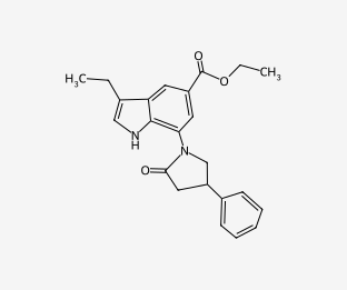 CCOC(=O)c1cc(N2CC(c3ccccc3)CC2=O)c2[nH]cc(CC)c2c1